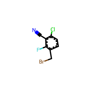 N#Cc1c(Cl)ccc(CBr)c1F